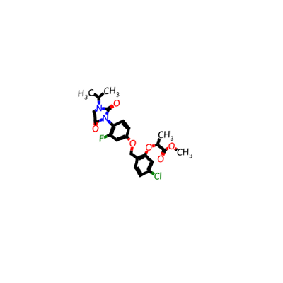 COC(=O)C(C)Oc1cc(Cl)ccc1COc1ccc(N2C(=O)CN(C(C)C)C2=O)c(F)c1